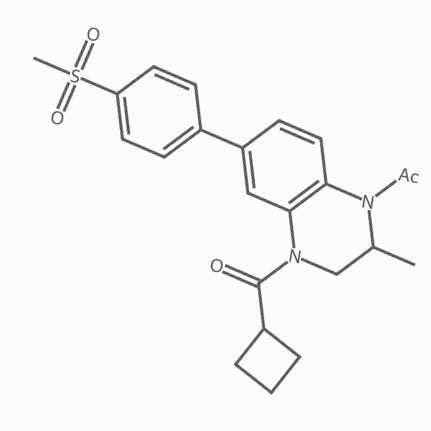 CC(=O)N1c2ccc(-c3ccc(S(C)(=O)=O)cc3)cc2N(C(=O)C2CCC2)CC1C